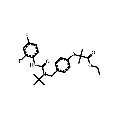 CCOC(=O)C(C)(C)Oc1ccc(CN(C(=O)Nc2ccc(F)cc2F)C(C)(C)C)cc1